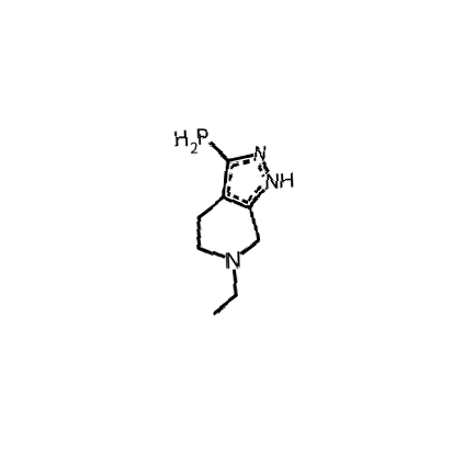 CCN1CCc2c(P)n[nH]c2C1